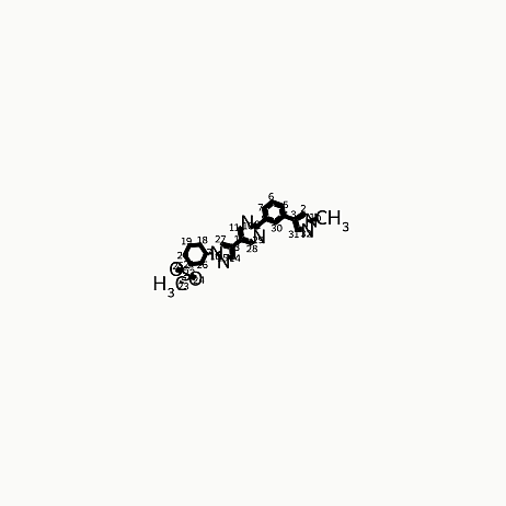 Cn1cc(-c2cccc(-c3ncc(-c4cnn([C@@H]5CCC[C@H](S(C)(=O)=O)C5)c4)cn3)c2)cn1